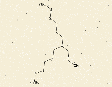 CCCCSSCCCC(CCO)CCCSSCCCC